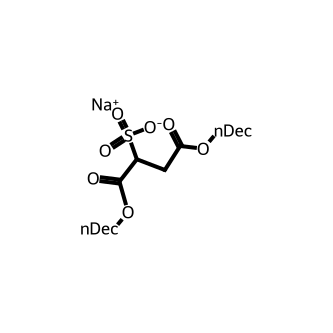 CCCCCCCCCCOC(=O)CC(C(=O)OCCCCCCCCCC)S(=O)(=O)[O-].[Na+]